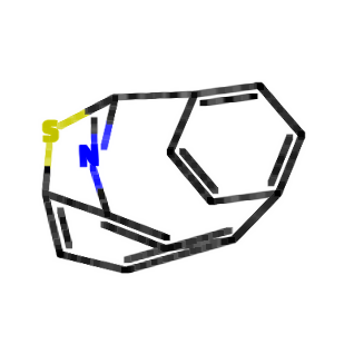 c1cc2ccc1-c1ccc3sc-2nc3c1